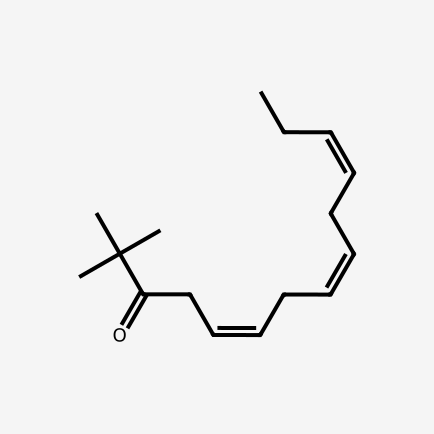 CC/C=C\C/C=C\C/C=C\CC(=O)C(C)(C)C